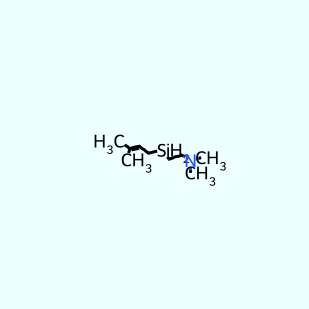 CC(C)=CC[SiH2]CCN(C)C